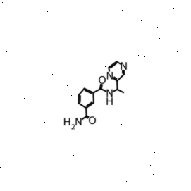 CC(NC(=O)c1cccc(C(N)=O)c1)c1cnccn1